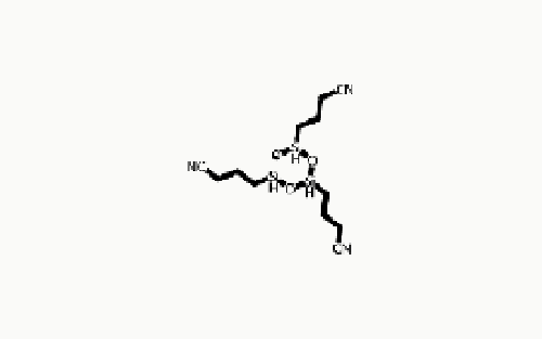 N#CCCC[SiH]1O[SiH](CCCC#N)O[SiH](CCCC#N)O1